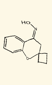 O/N=C1/CC2(CCC2)Oc2ccccc21